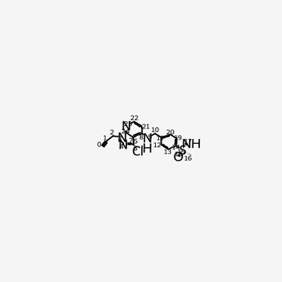 C#CCn1nc(Cl)c2c(NCc3ccc([S@@](C)(=N)=O)cc3)ccnc21